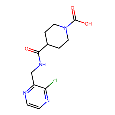 O=C(NCc1nccnc1Cl)C1CCN(C(=O)O)CC1